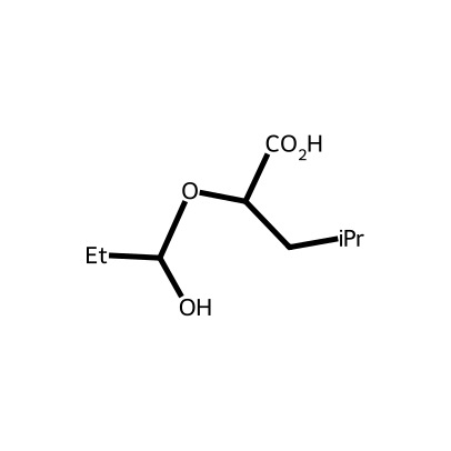 CCC(O)OC(CC(C)C)C(=O)O